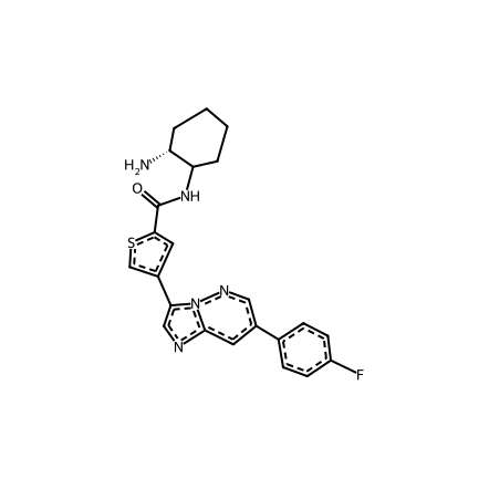 N[C@@H]1CCCCC1NC(=O)c1cc(-c2cnc3cc(-c4ccc(F)cc4)cnn23)cs1